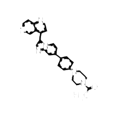 CC(=O)N1CCN(c2ccc(-c3ccn4c(-c5ccnc6ccncc56)cnc4c3)cc2)CC1